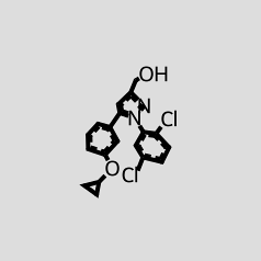 OCc1cc(-c2cccc(OC3CC3)c2)n(-c2cc(Cl)ccc2Cl)n1